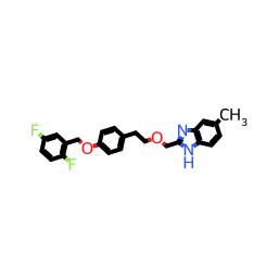 Cc1ccc2[nH]c(COCCc3ccc(OCc4cc(F)ccc4F)cc3)nc2c1